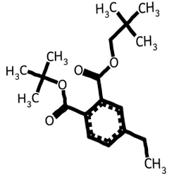 CCc1ccc(C(=O)OC(C)(C)C)c(C(=O)OCC(C)(C)C)c1